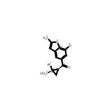 Cc1cc2cc(C(=O)[C@H]3C[C@]3(C(=O)O)C(C)C)cc(Cl)c2o1